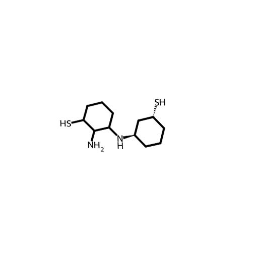 NC1C(S)CCCC1N[C@@H]1CCC[C@@H](S)C1